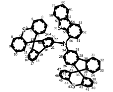 c1ccc2c(c1)Sc1ccccc1C21c2ccccc2-c2cc(N(c3ccc4c(c3)-c3ccccc3C43c4ccccc4Sc4ccccc43)c3cccc4c3sc3ccccc34)ccc21